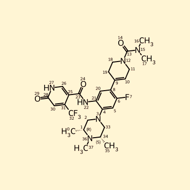 C[C@@H]1CN(c2cc(F)c(C3=CCN(C(=O)N(C)C)CC3)cc2NC(=O)c2c[nH]c(=O)cc2C(F)(F)F)C[C@H](C)N1C